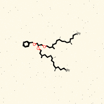 CC(C)CCC[C@@H](C)CCC[C@@H](C)CCCC(C)CCOCC(COCc1ccccc1)OCCC(C)CCC[C@H](C)CCC[C@H](C)CCCC(C)C